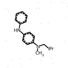 CC(C)CN(C)c1ccc(Nc2ccccc2)cc1